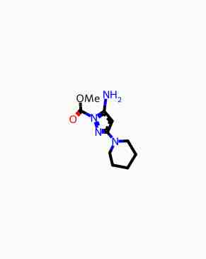 COC(=O)n1nc(N2CCCCC2)cc1N